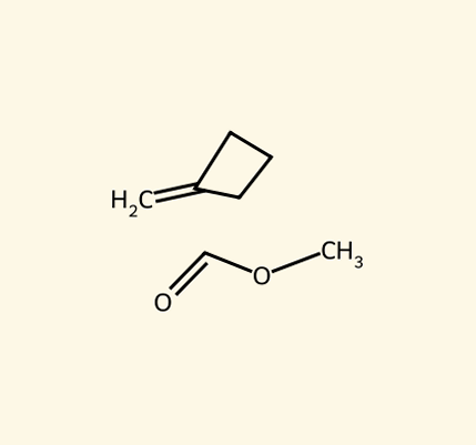 C=C1CCC1.COC=O